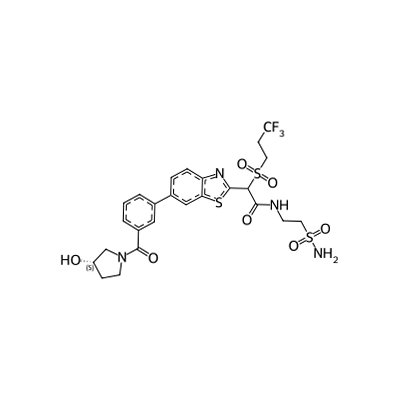 NS(=O)(=O)CCNC(=O)C(c1nc2ccc(-c3cccc(C(=O)N4CC[C@H](O)C4)c3)cc2s1)S(=O)(=O)CCC(F)(F)F